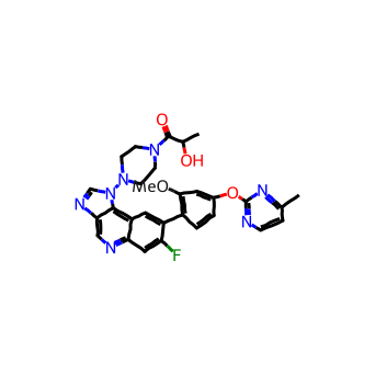 COc1cc(Oc2nccc(C)n2)ccc1-c1cc2c(cc1F)ncc1ncn(N3CCN(C(=O)C(C)O)CC3)c12